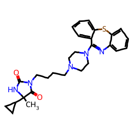 CC1(C2CC2)NC(=O)N(CCCCN2CCN(C3=Nc4ccccc4Sc4ccccc43)CC2)C1=O